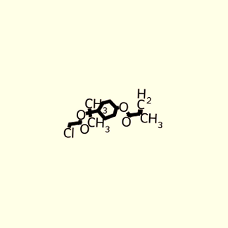 C=C(C)C(=O)OC1CCC(C(C)(C)OC(=O)CCl)CC1